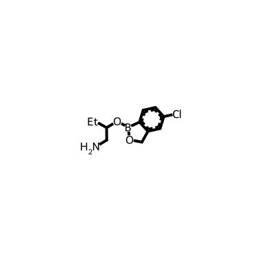 CCC(CN)OB1OCc2cc(Cl)ccc21